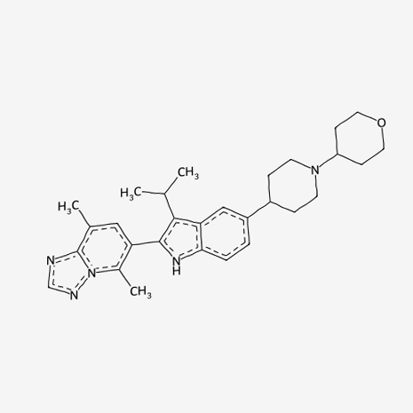 Cc1cc(-c2[nH]c3ccc(C4CCN(C5CCOCC5)CC4)cc3c2C(C)C)c(C)n2ncnc12